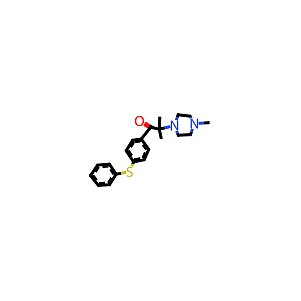 CN1CCN(C(C)(C)C(=O)c2ccc(Sc3ccccc3)cc2)CC1